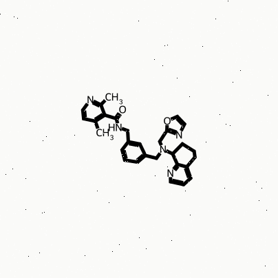 Cc1ccnc(C)c1C(=O)NCc1cccc(CN(Cc2ncco2)C2CCCc3cccnc32)c1